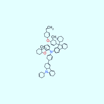 C=CC1C=CC(OC2C=CC(C3(C4CCCCC4)C4=C(CCC=C4)c4ccc(N(C5=CCC(C6=CC7C8=CCCC=C8N(C8CC=CCC8)C7CC6)C=C5)C5=C6OC7CCCCC7(C)C6CC=C5)cc43)CC2C)CC1